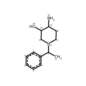 CC(c1ccccc1)N1CCC(N)C(O)C1